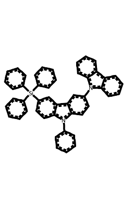 c1ccc(-n2c3ccc(-n4c5ccccc5c5ccccc54)cc3c3cc([Si](c4ccccc4)(c4ccccc4)c4ccccc4)ccc32)cc1